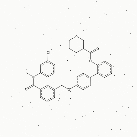 CN(C(=O)c1cccc(COc2ccc(-c3ccccc3OC(=O)C3C[CH]CCC3)cc2)c1)c1cccc(Cl)c1